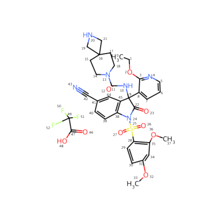 CCOc1ncccc1C1(NC(=O)N2CCC3(CC2)CNC3)C(=O)N(S(=O)(=O)c2ccc(OC)cc2OC)c2ccc(C#N)cc21.O=C(O)C(F)(F)F